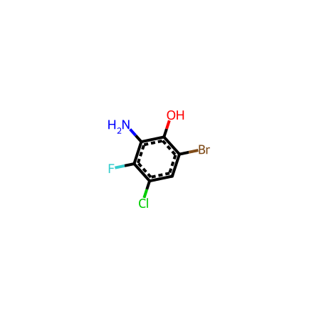 Nc1c(O)c(Br)cc(Cl)c1F